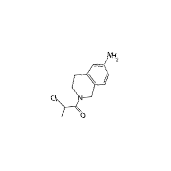 CC(Cl)C(=O)N1CCc2cc(N)ccc2C1